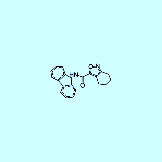 O=C(NC1c2ccccc2-c2ccccc21)c1onc2c1CCCC2